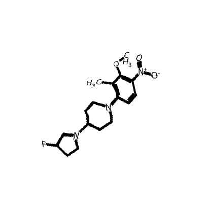 COc1c([N+](=O)[O-])ccc(N2CCC(N3CCC(F)C3)CC2)c1C